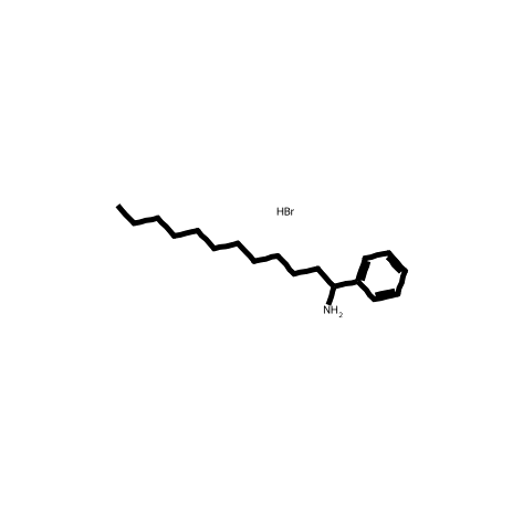 Br.CCCCCCCCCCCC(N)c1ccccc1